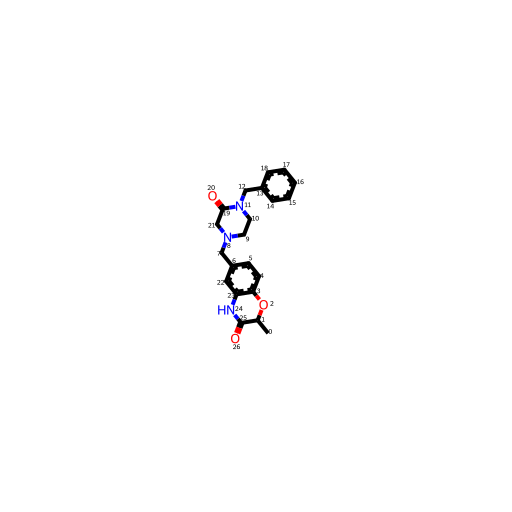 CC1Oc2ccc(CN3CCN(Cc4ccccc4)C(=O)C3)cc2NC1=O